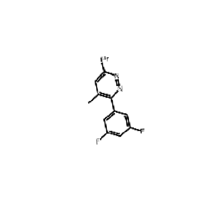 Cc1cc(C(C)C)nnc1-c1cc(F)cc(F)c1